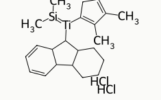 CC1=CC[C]([Ti]([CH]2C3C=CC=CC3C3CCCCC32)=[Si](C)C)=C1C.Cl.Cl